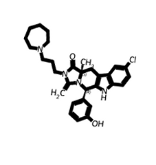 C=C1N(CCCN2CCCCCC2)C(=O)[C@]2(C)Cc3c([nH]c4ccc(Cl)cc34)[C@@H](c3cccc(O)c3)N12